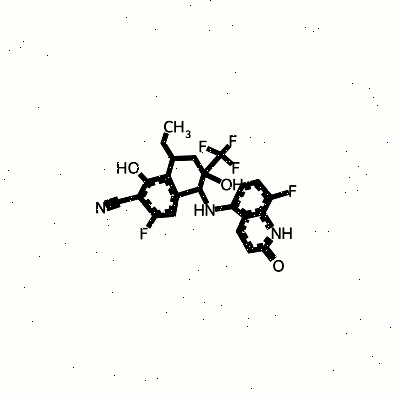 CCC1CC(O)(C(F)(F)F)C(Nc2ccc(F)c3[nH]c(=O)ccc23)c2cc(F)c(C#N)c(O)c21